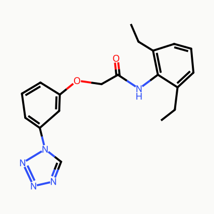 CCc1cccc(CC)c1NC(=O)COc1cccc(-n2cnnn2)c1